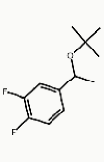 CC(OC(C)(C)C)c1ccc(F)c(F)c1